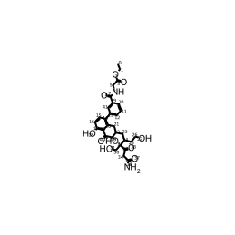 CCOC(=O)CNC(=O)c1cccc(-c2ccc(O)c3c2CC(CC(CCO)[C@](O)(CO)C(=O)CC(N)=O)CC3=O)c1